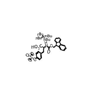 CCCC[N+](CCCC)(CCCC)CCCC.O=C(N[C@@H](Cc1ccc(OS(=O)(=O)[O-])cc1)C(=O)O)OCC1c2ccccc2-c2ccccc21